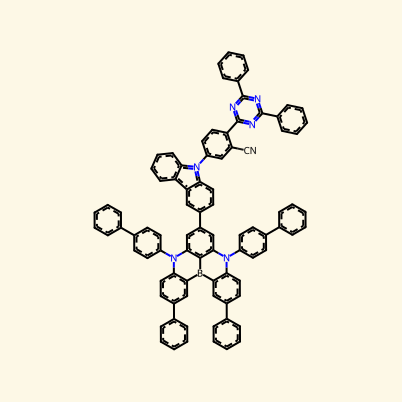 N#Cc1cc(-n2c3ccccc3c3cc(-c4cc5c6c(c4)N(c4ccc(-c7ccccc7)cc4)c4ccc(-c7ccccc7)cc4B6c4cc(-c6ccccc6)ccc4N5c4ccc(-c5ccccc5)cc4)ccc32)ccc1-c1nc(-c2ccccc2)nc(-c2ccccc2)n1